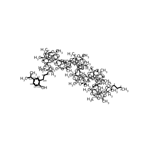 CCCC[Si](C)(C)O[Si](C)(C)O[Si](C)(C)O[Si](C)(C)O[Si](C)(C)O[Si](C)(C)O[Si](C)(C)O[Si](C)(C)O[Si](C)(C)O[Si](C)(C)O[Si](C)(C)O[Si](C)(C)O[Si](C)(C)O[Si](C)(C)O[Si](C)(C)O[Si](C)(C)O[Si](C)(C)O[Si](C)(C)O[Si](C)(C)O[Si](C)(C)O[Si](C)(C)O[Si](C)(C)O[Si](C)(C)O[Si](C)(C)O[Si](C)(C)O[Si](C)(C)CCCc1cc(C(C)C)ccc1O